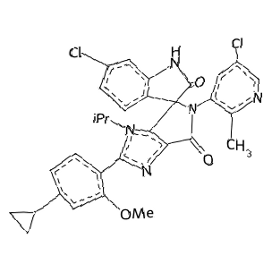 COc1cc(C2CC2)ccc1-c1nc2c(n1C(C)C)C1(C(=O)Nc3cc(Cl)ccc31)N(c1cc(Cl)cnc1C)C2=O